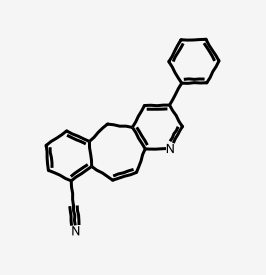 N#Cc1cccc2c1C=Cc1ncc(-c3ccccc3)cc1C2